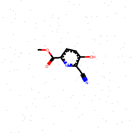 COC(=O)c1ccc(O)c(C#N)n1